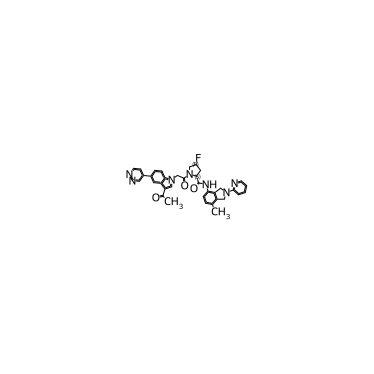 CC(=O)c1cn(CC(=O)N2C[C@H](F)C[C@H]2C(=O)Nc2ccc(C)c3c2CN(c2ccccn2)C3)c2ccc(-c3ccnnc3)cc12